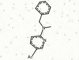 CC(=O)c1ccc(N(C)Cc2ccccc2)nc1